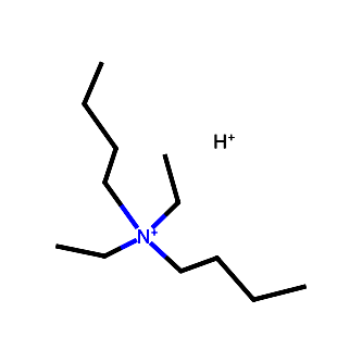 CCCC[N+](CC)(CC)CCCC.[H+]